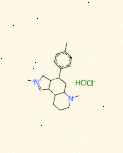 Cc1ccc(C2CC3C(CCCN3C)C3C=[N+](C)CC23)cc1.Cl.[Cl-]